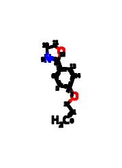 C=CCOc1ccc(C2=NCCO2)cc1